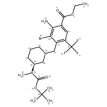 CCOC(=O)c1cc(C(F)(F)F)c(CN2CCC[C@H](N(C)C(=O)OC(C)(C)C)C2)c(Br)c1N